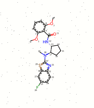 COc1cccc(OC)c1C(=O)N[C@@H]1CCC[C@H]1N(C)c1nc2ccc(F)cc2s1